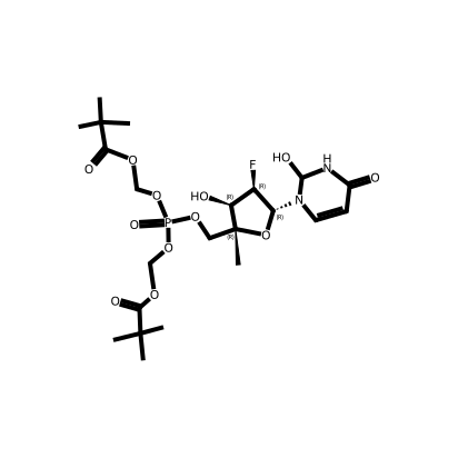 CC(C)(C)C(=O)OCOP(=O)(OCOC(=O)C(C)(C)C)OC[C@@]1(C)O[C@@H](N2C=CC(=O)NC2O)[C@H](F)[C@@H]1O